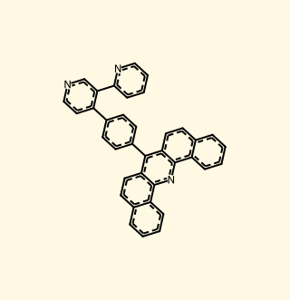 c1ccc(-c2cnccc2-c2ccc(-c3c4ccc5ccccc5c4nc4c3ccc3ccccc34)cc2)nc1